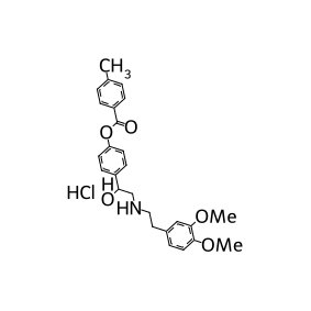 COc1ccc(CCNCC(O)c2ccc(OC(=O)c3ccc(C)cc3)cc2)cc1OC.Cl